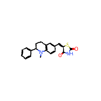 CN1c2ccc(C=C3SC(=O)NC3=O)cc2CCC1c1ccccc1